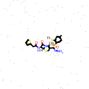 CCSc1cc(C)ccc1S(=O)(=O)/C(=N\N)C1=C(C(=O)O)N2C(=O)[C@@H](NC(=O)Cc3cccs3)[C@H]2SC1